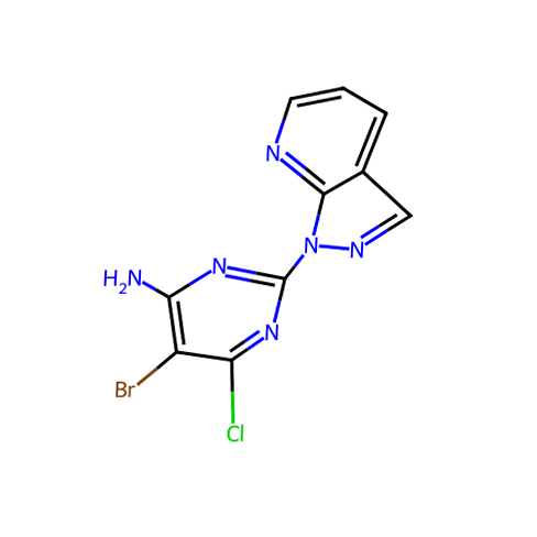 Nc1nc(-n2ncc3cccnc32)nc(Cl)c1Br